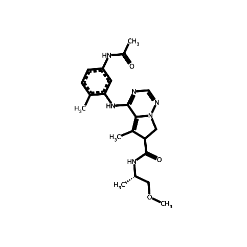 COC[C@H](C)NC(=O)C1CN2N=CN=C(Nc3cc(NC(C)=O)ccc3C)C2=C1C